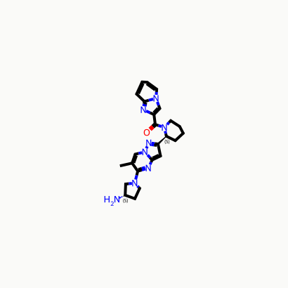 Cc1cn2nc([C@@H]3CCCCN3C(=O)c3cn4ccccc4n3)cc2nc1N1CC[C@H](N)C1